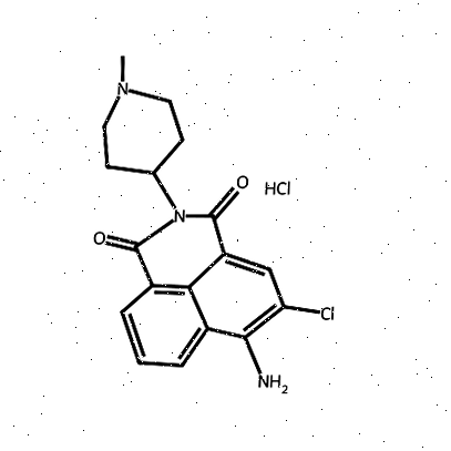 CN1CCC(N2C(=O)c3cccc4c(N)c(Cl)cc(c34)C2=O)CC1.Cl